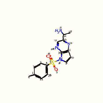 Cc1ccc(S(=O)(=O)n2ccc3nc(C(C)N)cnc32)cc1